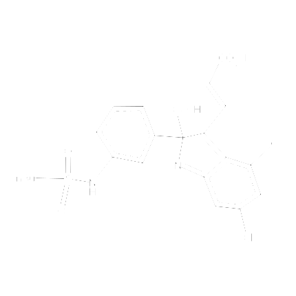 CCCCS(=O)(=O)Nc1cccc(C2(C(=O)O)N=c3cc(Cl)cc(Cl)c3=C2C=CC(=O)O)c1